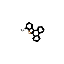 Cc1cccc2c1sc1c3ccccc3c3ccccc3c21